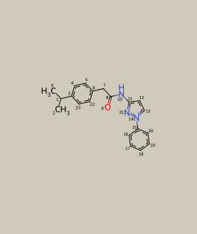 CC(C)c1ccc(CC(=O)Nc2ccn(-c3ccccc3)n2)cc1